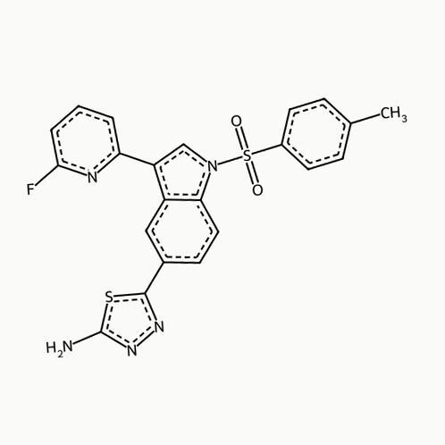 Cc1ccc(S(=O)(=O)n2cc(-c3cccc(F)n3)c3cc(-c4nnc(N)s4)ccc32)cc1